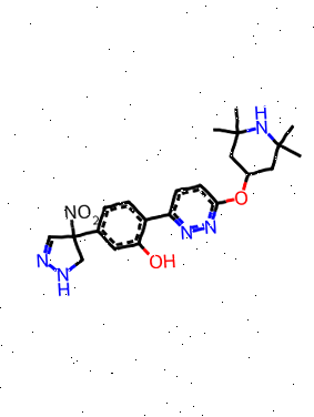 CC1(C)CC(Oc2ccc(-c3ccc(C4([N+](=O)[O-])C=NNC4)cc3O)nn2)CC(C)(C)N1